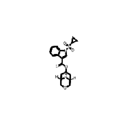 O=C(OC1C[C@H]2COC[C@@H](C1)N2)c1cn(S(=O)(=O)C2CC2)c2ccccc12